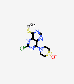 CCCSc1ncnc2c(N3CC[S+]([O-])CC3)nc(Cl)nc12